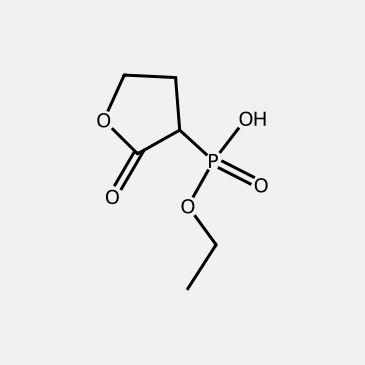 CCOP(=O)(O)C1CCOC1=O